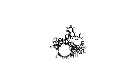 CC(C)Oc1cc2ccccc2c(O[C@@H]2C[C@H]3C(=O)N[C@]4(C(=O)NS(=O)(=O)C5(CF)CC5)C[C@H]4C=CCC[C@@H](C)C[C@@H](C)[C@H](N(C(=O)O)C(C)(C)C)C(=O)N3C2)n1